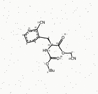 CC(C)(C)OC(=O)N[C@@H](Cc1cccnc1C#N)C(=O)OCC#N